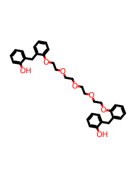 Oc1ccccc1Cc1ccccc1OCCOCCOCCOCCOc1ccccc1Cc1ccccc1O